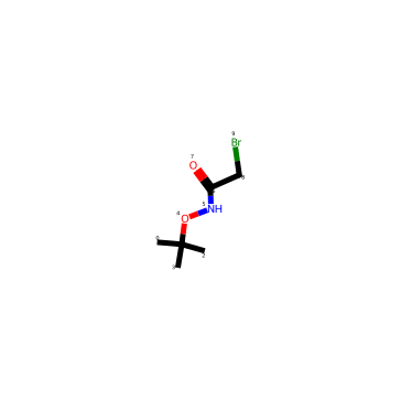 CC(C)(C)ONC(=O)CBr